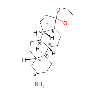 C[C@]12CC[C@H]3[C@@H](CC[C@H]4C[C@@H](N)CC[C@@H]43)[C@@H]1CCC21OCCO1